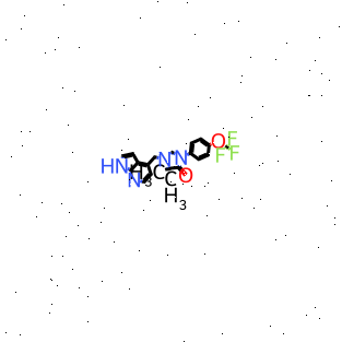 CC1(C)C(=O)N(c2ccc(OC(F)(F)F)cc2)CN1Cc1ccnc2[nH]ccc12